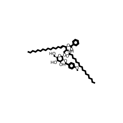 CCCCCCCCCCCCC/C=C/C(OC(=O)c1ccccc1)C(CO[C@H]1O[C@H](CO)[C@H](O)[C@H](O)[C@H]1OCc1ccc(OC)cc1)NC(=O)CCCCCCCCCCCCCCC